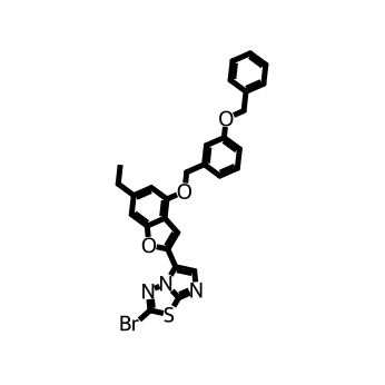 CCc1cc(OCc2cccc(OCc3ccccc3)c2)c2cc(-c3cnc4sc(Br)nn34)oc2c1